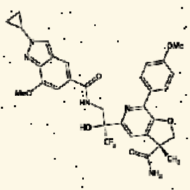 COc1ccc(-c2nc([C@@](O)(CNC(=O)c3cc(OC)c4nn(C5CC5)cc4c3)C(F)(F)F)cc3c2OC[C@]3(C)C(N)=O)cc1